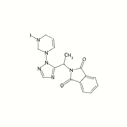 CC(c1ncnn1N1C=CCN(I)C1)N1C(=O)c2ccccc2C1=O